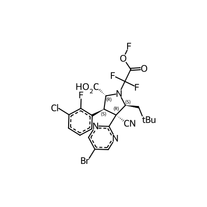 CC(C)(C)C[C@@H]1N(C(F)(F)C(=O)OF)[C@@H](C(=O)O)[C@H](c2cccc(Cl)c2F)[C@]1(C#N)c1ncc(Br)cn1